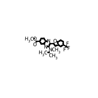 COC(=O)c1ccc2nc(-c3cc4cc(C(F)(F)F)ccc4o3)c(N(C)C(C)C)nc2c1